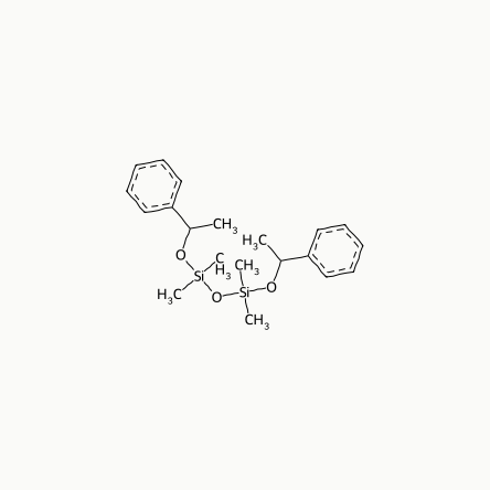 CC(O[Si](C)(C)O[Si](C)(C)OC(C)c1ccccc1)c1ccccc1